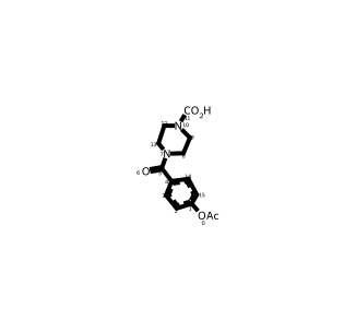 CC(=O)Oc1ccc(C(=O)N2CCN(C(=O)O)CC2)cc1